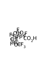 O=C(O)C(F)(F)OC(F)(F)OC(F)(F)OC(F)(F)OC(F)(F)F